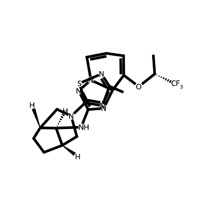 Cc1nsc(N2C[C@H]3CC[C@@H](C2)[C@@H]3Nc2nc3c(O[C@H](C)C(F)(F)F)cccn3n2)n1